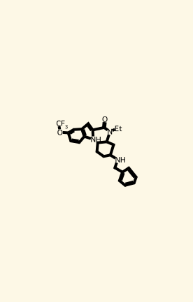 CCN(C(=O)c1cc2cc(OC(F)(F)F)ccc2[nH]1)C1CCCC(NCc2ccccc2)C1